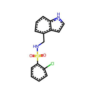 O=S(=O)(NCc1cccc2[nH]ccc12)c1ccccc1Cl